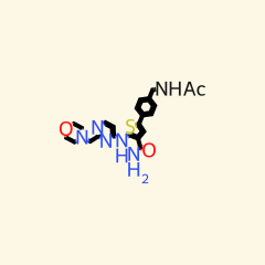 CC(=O)NCc1ccc(-c2cc(C(N)=O)c(Nc3ccnc(CN4CCOCC4)n3)s2)cc1